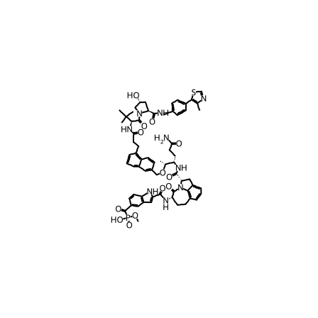 COP(=O)(O)C(=O)c1ccc2[nH]c(C(=O)N[C@H]3CCc4cccc5c4N(C3=O)[C@H](C(=O)N[C@@H](CCC(N)=O)[C@@H](C)OCc3ccc4c(CCC(=O)N[C@H](C(=O)N6C[C@H](O)C[C@H]6C(=O)NCc6ccc(-c7scnc7C)cc6)C(C)(C)C)cccc4c3)C5)cc2c1